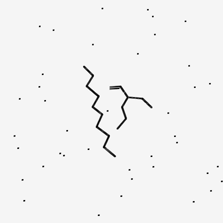 C=CC(CC)CCC.CCCCCCCCCC